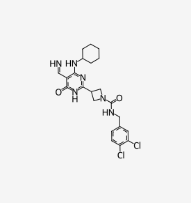 N=Cc1c(NC2CCCCC2)nc(C2CN(C(=O)NCc3ccc(Cl)c(Cl)c3)C2)[nH]c1=O